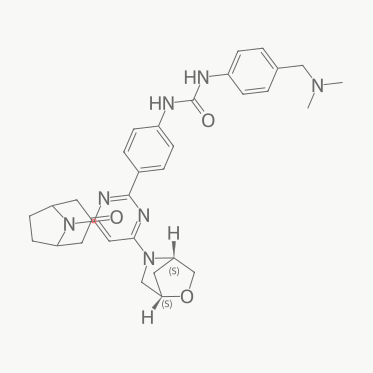 CN(C)Cc1ccc(NC(=O)Nc2ccc(-c3nc(N4C5CCC4CC(=O)C5)cc(N4C[C@@H]5C[C@H]4CO5)n3)cc2)cc1